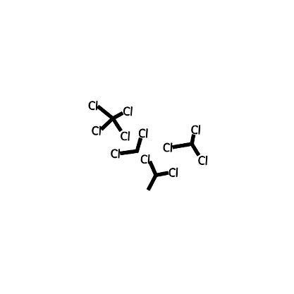 CC(Cl)Cl.ClC(Cl)(Cl)Cl.ClC(Cl)Cl.ClCCl